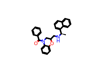 C[C@@H](NCC1CN(C(=O)c2ccccc2)c2ccccc2O1)c1cccc2ccccc12